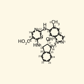 Cc1cc2cnn(C(C)C)c2cc1Nc1ncc(C(=O)O)c(N[C@H]2c3ccccc3C[C@H]2O)n1